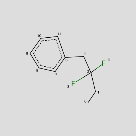 [CH2]CC(F)(F)Cc1ccccc1